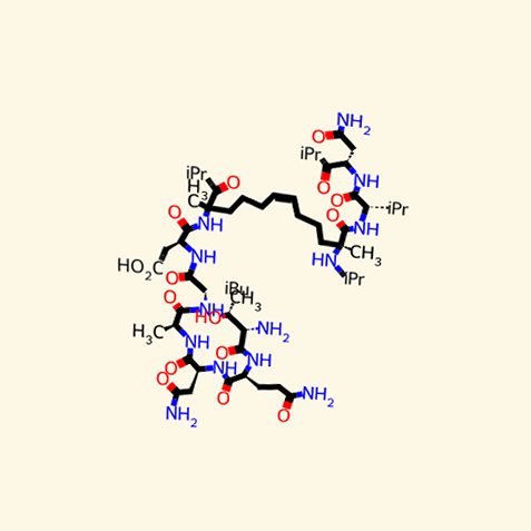 CC[C@H](C)[C@H](NC(=O)[C@H](C)NC(=O)[C@H](CC(N)=O)NC(=O)[C@H](CCC(N)=O)NC(=O)[C@@H](N)[C@@H](C)O)C(=O)N[C@@H](CC(=O)O)C(=O)NC(C)(CCC/C=C\CCC[C@](C)(NC(C)C)C(=O)N[C@H](C(=O)N[C@@H](CC(N)=O)C(=O)C(C)C)C(C)C)C(=O)C(C)C